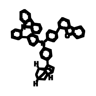 c1ccc(-n2c3ccccc3c3ccccc32)c(-c2ccc(N(c3ccc(-c4cccc5c4oc4ccccc45)cc3)c3ccc(C45CC6C[C@@H]7C[C@@H](C[C@@H]6C74)C5)cc3)cc2)c1